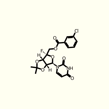 CC1(C)O[C@H]2[C@H](n3ccc(=O)[nH]c3=O)O[C@](F)(COC(=O)c3cccc(Cl)c3)[C@H]2O1